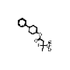 O=C(CC(F)(F)[SH](=O)=O)OC1CCC(c2ccccc2)CC1